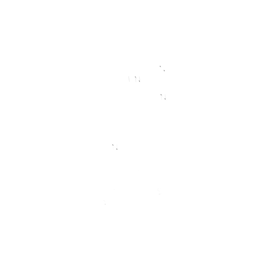 c1ccc(C2=NC(c3ccccc3)NC(c3ccc(-n4c5ccccc5c5c6sc7ccccc7c6c6sc7ccccc7c6c54)cc3)=N2)cc1